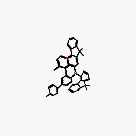 Cc1ccc(-c2ccc(N(c3ccc4c(c3)C(C)(C)c3ccccc3-4)c3cccc4c3-c3ccccc3C4(C)C)c(-c3ccccc3C)c2)cc1